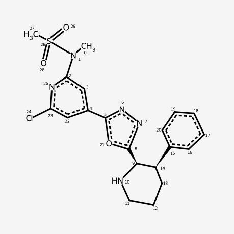 CN(c1cc(-c2nnc([C@@H]3NCCC[C@@H]3c3ccccc3)o2)cc(Cl)n1)S(C)(=O)=O